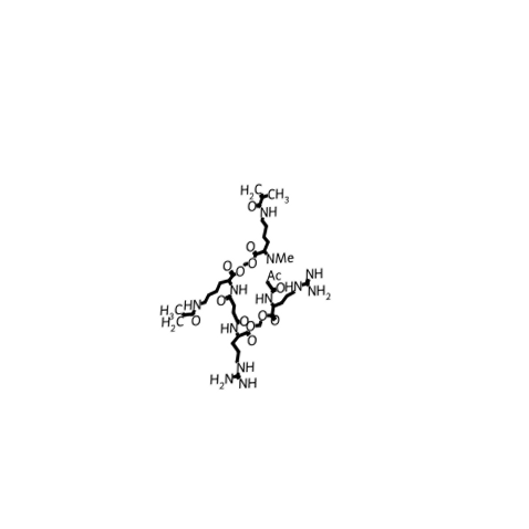 C=C(C)C(=O)NCCCCC(NC)C(=O)OCOC(=O)C(CCCCNC(=O)C(=C)C)NC(=O)CCC(=O)NC(CCCNC(=N)N)C(=O)OCOC(=O)C(CCCNC(=N)N)NC(=O)CC(C)=O